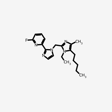 CCCCCc1c(C)nc(Cn2ccnc2-c2cccc(F)n2)n1CC